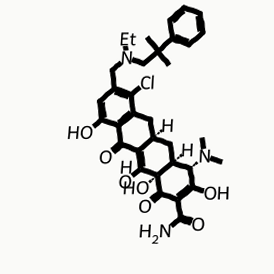 CCN(Cc1cc(O)c2c(c1Cl)C[C@H]1C[C@H]3[C@H](N(C)C)C(O)=C(C(N)=O)C(=O)[C@@]3(O)C(O)=C1C2=O)CC(C)(C)c1ccccc1